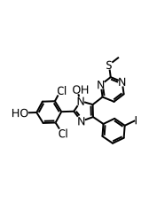 CSc1nccc(-c2c(-c3cccc(I)c3)nc(-c3c(Cl)cc(O)cc3Cl)n2O)n1